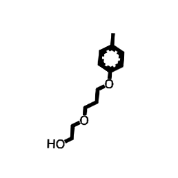 Cc1ccc(OCCCOCCO)cc1